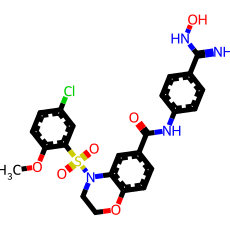 COc1ccc(Cl)cc1S(=O)(=O)N1CCOc2ccc(C(=O)Nc3ccc(C(=N)NO)cc3)cc21